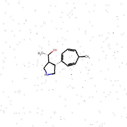 CC1C=CC=C([C@@H]2CNCC2[C@H](C)O)C=C1